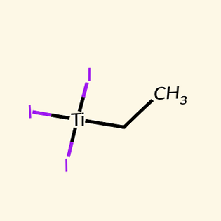 C[CH2][Ti]([I])([I])[I]